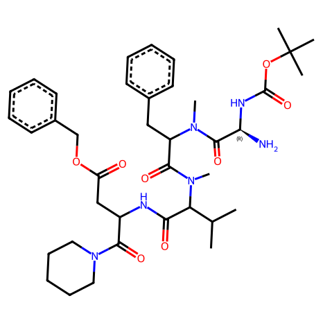 CC(C)C(C(=O)NC(CC(=O)OCc1ccccc1)C(=O)N1CCCCC1)N(C)C(=O)C(Cc1ccccc1)N(C)C(=O)[C@H](N)NC(=O)OC(C)(C)C